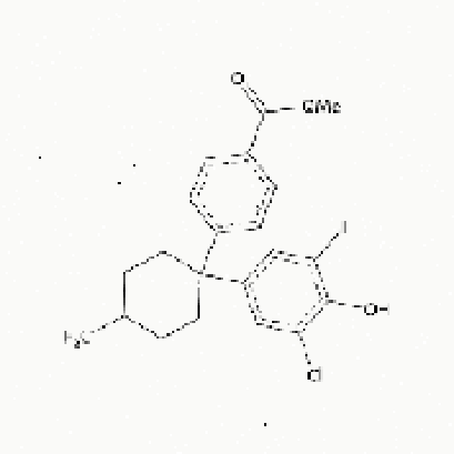 COC(=O)c1ccc(C2(c3cc(Cl)c(O)c(I)c3)CCC(C(F)(F)F)CC2)cc1